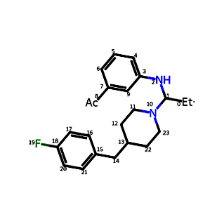 C[CH]C(Nc1cccc(C(C)=O)c1)N1CCC(Cc2ccc(F)cc2)CC1